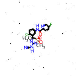 CN1C(NC#N)=N[C@](C)(c2cc(NC(=O)c3ccc(F)cn3)ccc2F)CS1(=O)=O